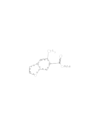 COC(=O)c1cc2occc2cc1C